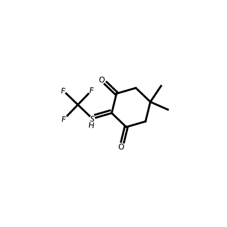 CC1(C)CC(=O)C(=[SH]C(F)(F)F)C(=O)C1